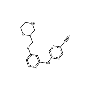 N#Cc1cnc(Nc2cc(OCC3CNCCO3)cnn2)cn1